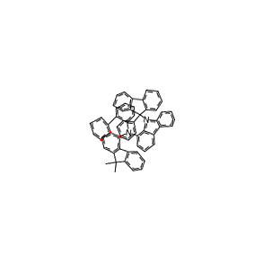 CC1(C)c2ccccc2-c2c(N(c3ccccc3-c3ccccc3)c3cccc4c5ccccc5n(C5(c6ccccc6)c6ccccc6-c6ccccc65)c34)cccc21